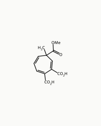 COC(=O)C1(C)C=CC=C(C(=O)O)C(C(=O)O)=C1